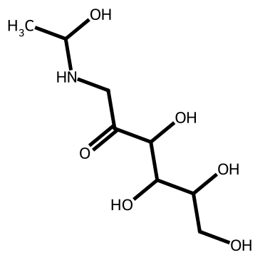 CC(O)NCC(=O)C(O)C(O)C(O)CO